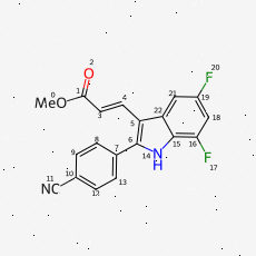 COC(=O)/C=C/c1c(-c2ccc(C#N)cc2)[nH]c2c(F)cc(F)cc12